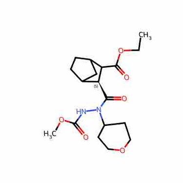 CCOC(=O)C1C2CCC(C2)[C@@H]1C(=O)N(NC(=O)OC)C1CCOCC1